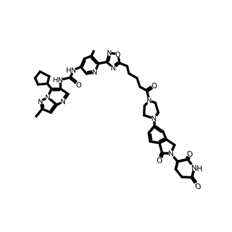 Cc1cc2ncc(NC(=O)Nc3cnc(-c4noc(CCCCC(=O)N5CCN(c6ccc7c(c6)CN(C6CCC(=O)NC6=O)C7=O)CC5)n4)c(C)c3)c(C3CCCC3)n2n1